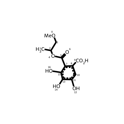 COCC(C)OC(=O)c1c(C(=O)O)cc(O)c(O)c1O